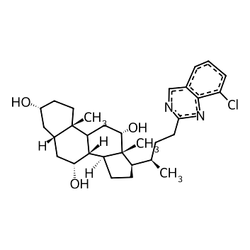 C[C@H](CCc1ncc2cccc(Cl)c2n1)[C@H]1CC[C@H]2[C@H]3C(C[C@H](O)[C@]12C)[C@@]1(C)CC[C@@H](O)C[C@H]1C[C@H]3O